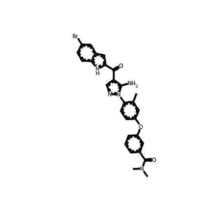 Cc1cc(Oc2cccc(C(=O)N(C)C)c2)ccc1-n1ncc(C(=O)c2cc3cc(Br)ccc3[nH]2)c1N